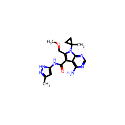 COCc1c(C(=O)Nc2cc(C)n[nH]2)c2c(N)ncnc2n1C1(C)CC1